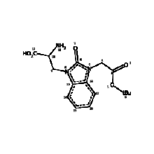 CC(C)(C)OC(=O)Cn1c(=O)n(CC(N)C(=O)O)c2ccccc21